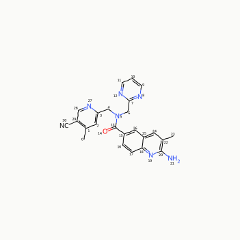 Cc1cc(CN(Cc2ncccn2)C(=O)c2ccc3nc(N)c(C)cc3c2)ncc1C#N